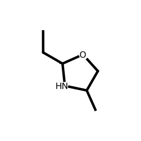 CC[C]1NC(C)CO1